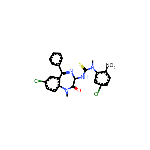 CN1C(=O)C(NC(=S)N(C)c2cc(Cl)ccc2[N+](=O)[O-])N=C(c2ccccc2)c2cc(Cl)ccc21